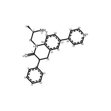 C[C@@H](N)CN1C(=O)C(c2ccccc2)Cc2cc(-c3ccncc3)ccc21